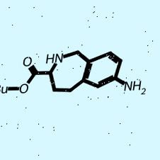 CC(C)(C)OC(=O)C1CCc2cc(N)ccc2CN1